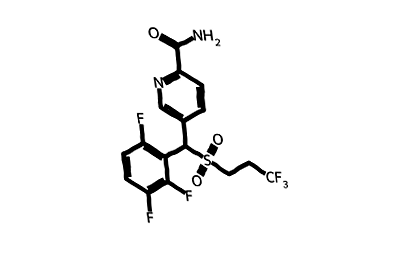 NC(=O)c1ccc(C(c2c(F)ccc(F)c2F)S(=O)(=O)CCC(F)(F)F)cn1